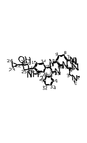 CN(C)Cc1nnc2ccc3nc(-c4ccc(C5(N)CC(O)(C6CC6)C5)cc4)c(-c4ccccc4)nc3n12